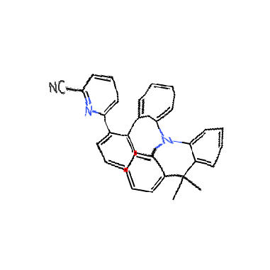 CC1(C)c2ccccc2N(c2ccccc2-c2ccccc2-c2cccc(C#N)n2)c2ccccc21